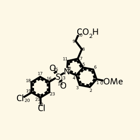 COc1ccc2c(c1)c(CCC(=O)O)cn2S(=O)(=O)c1ccc(Cl)c(Cl)c1